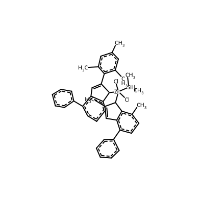 CC1=Cc2c(-c3ccccc3)ccc(C)c2[CH]1[Zr]([Cl])([Cl])([CH]1C(c2c(C)cc(C)cc2C)=Cc2c(-c3ccccc3)cccc21)[SiH](C)C